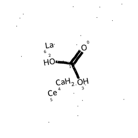 O=C(O)O.[CaH2].[Ce].[La]